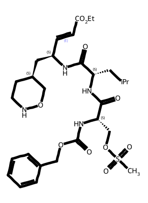 CCOC(=O)/C=C/[C@H](C[C@@H]1CCNOC1)NC(=O)[C@H](CC(C)C)NC(=O)[C@H](COS(C)(=O)=O)NC(=O)OCc1ccccc1